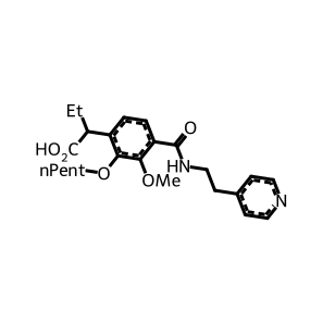 CCCCCOc1c(C(CC)C(=O)O)ccc(C(=O)NCCc2ccncc2)c1OC